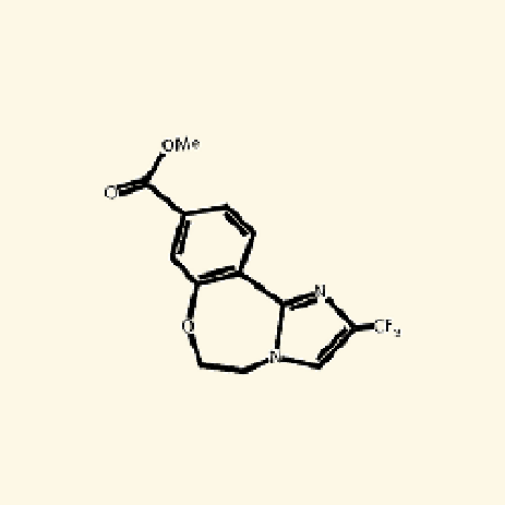 COC(=O)c1ccc2c(c1)OCCn1cc(C(F)(F)F)nc1-2